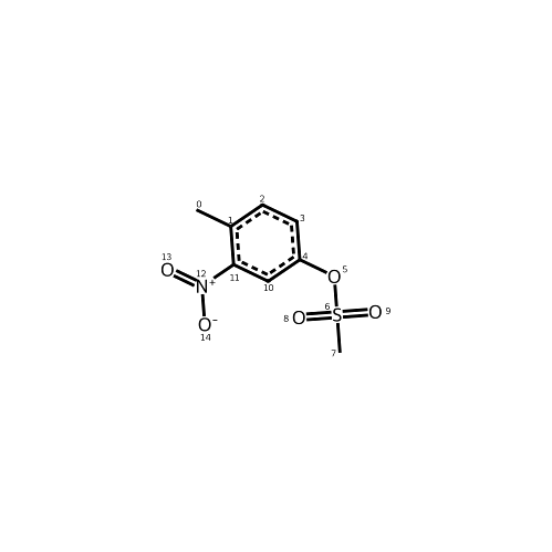 Cc1ccc(OS(C)(=O)=O)cc1[N+](=O)[O-]